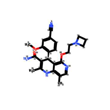 COc1cc(C#N)ccc1[C@H]1C(C(N)=O)=C(C)Nc2c(C)cnc(OCCN3CCC3)c21